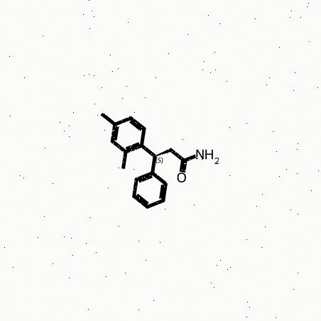 Cc1ccc([C@@H](CC(N)=O)c2ccccc2)c(C)c1